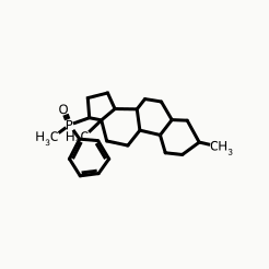 CC1CCC2C(CCC3C2CCC2(C)C3CCC2P(C)(=O)c2ccccc2)C1